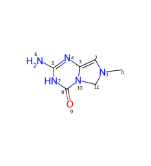 CN1C=C2N=C(N)NC(=O)N2C1